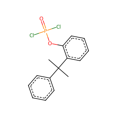 CC(C)(c1ccccc1)c1ccccc1OP(=O)(Cl)Cl